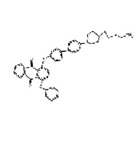 CCCCCC1CCC(c2ccc(-c3ccc(Sc4ccc(Sc5ccccc5)c5c4C(=O)c4ccccc4C5=O)cc3)cc2)CC1